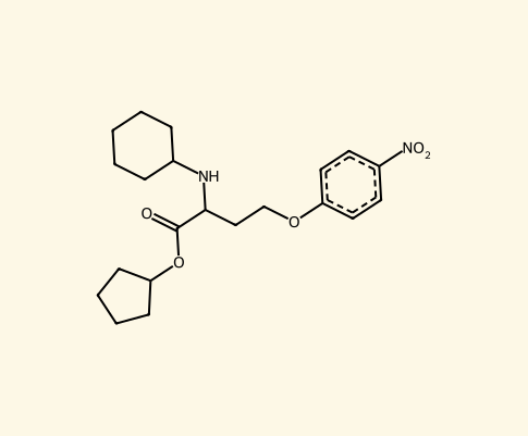 O=C(OC1CCCC1)C(CCOc1ccc([N+](=O)[O-])cc1)NC1CCCCC1